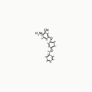 N#Cc1cc(Oc2ccc(OCc3ccccc3)cc2)ccc1N